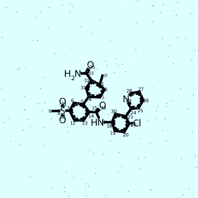 Cc1ccc(-c2cc(S(C)(=O)=O)ccc2C(=O)Nc2ccc(Cl)c(-c3ccccn3)c2)cc1C(N)=O